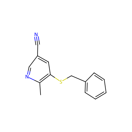 Cc1ncc(C#N)cc1SCc1ccccc1